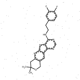 CC1(C)Cc2nc3sc4c(NCCc5ccc(F)c(F)c5)ncnc4c3cc2CO1